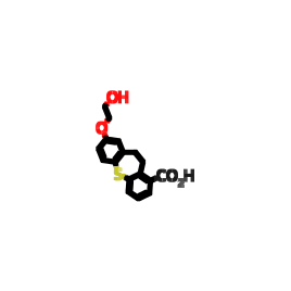 O=C(O)c1cccc2c1CCc1cc(OCCO)ccc1S2